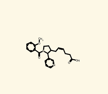 COc1ccccc1C(=O)N1CCC(C/C=C\CCC(=O)O)C1c1cccnc1